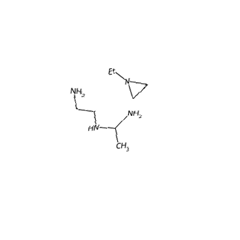 CC(N)NCCN.CCN1CC1